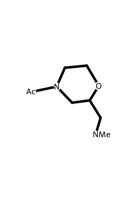 CNCC1CN(C(C)=O)CCO1